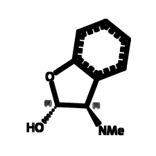 CN[C@@H]1c2ccccc2O[C@H]1O